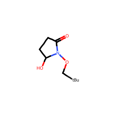 CC(C)(C)CON1C(=O)CCC1O